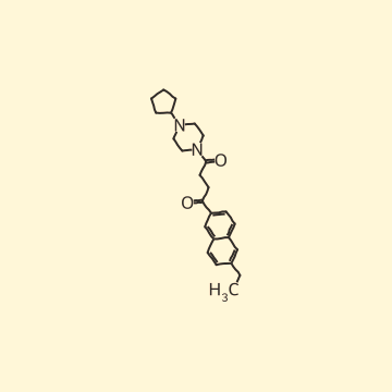 CCc1ccc2cc(C(=O)CCC(=O)N3CCN(C4CCCC4)CC3)ccc2c1